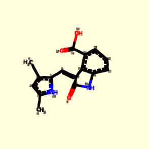 Cc1cc(C)c(/C=C2\C(=O)Nc3cccc(C(=O)O)c32)[nH]1